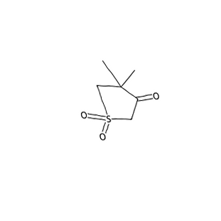 CC1(C)CS(=O)(=O)CC1=O